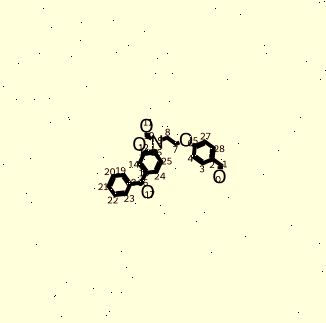 O=Cc1ccc(OCCn2c(=O)oc3cc(C(=O)c4ccccc4)ccc32)cc1